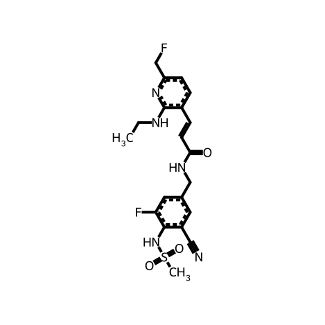 CCNc1nc(CF)ccc1/C=C/C(=O)NCc1cc(F)c(NS(C)(=O)=O)c(C#N)c1